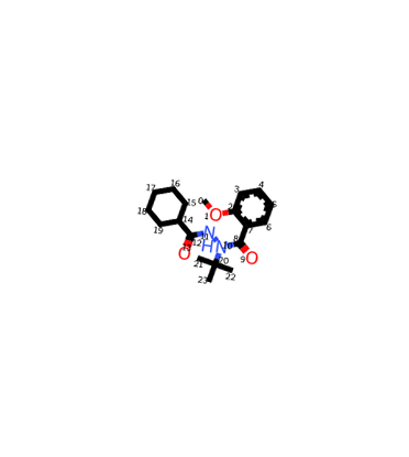 COc1ccccc1C(=O)N(NC(=O)C1CCCCC1)C(C)(C)C